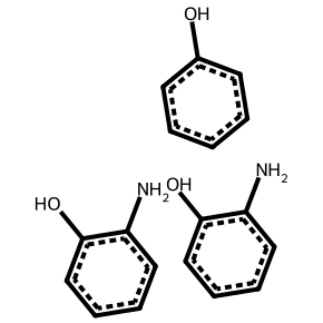 Nc1ccccc1O.Nc1ccccc1O.Oc1ccccc1